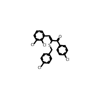 O=C(C(=Cc1cccc(Cl)c1Cl)SCc1ccc(Cl)cc1)c1ccc(Cl)cc1